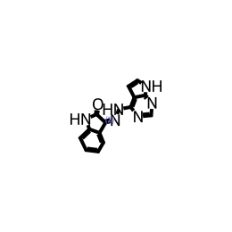 O=C1Nc2ccccc2/C1=N/Nc1ncnc2[nH]ccc12